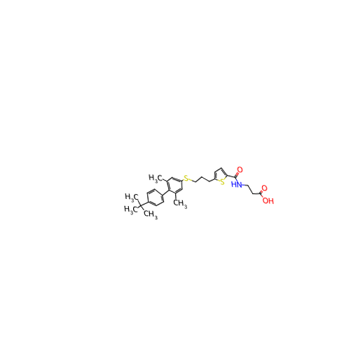 Cc1cc(SCCCc2ccc(C(=O)NCCC(=O)O)s2)cc(C)c1-c1ccc(C(C)(C)C)cc1